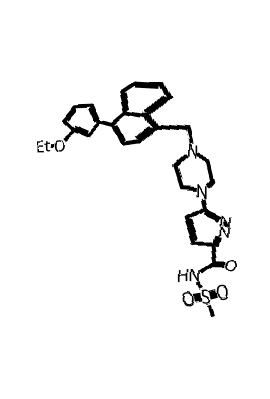 CCOc1cccc(-c2ccc(CN3CCN(c4ccc(C(=O)NS(C)(=O)=O)nn4)CC3)c3ccccc23)c1